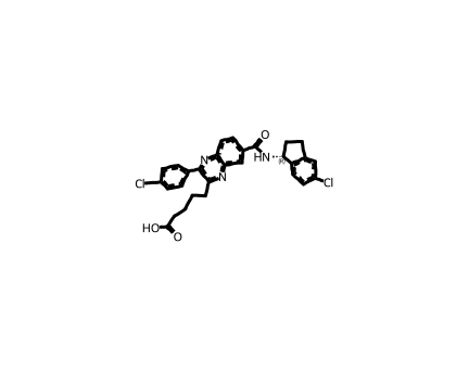 O=C(O)CCCCc1nc2cc(C(=O)N[C@@H]3CCc4cc(Cl)ccc43)ccc2nc1-c1ccc(Cl)cc1